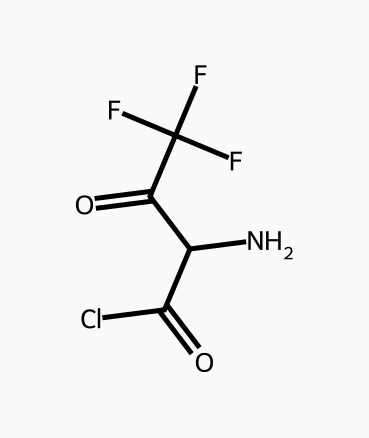 NC(C(=O)Cl)C(=O)C(F)(F)F